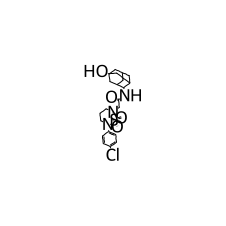 O=C(CN1CCCN(c2ccc(Cl)cc2)S1(=O)=O)NC1C2CC3CC1CC(O)(C3)C2